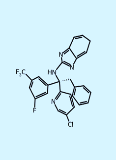 Fc1cc(C(F)(F)F)cc([C@@](Cc2ccccc2)(NC2=NC3=CCC=CC3=N2)c2ccc(Cl)cn2)c1